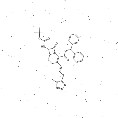 Cn1nnnc1S/C=C/C1=C(C(=O)OC(c2ccccc2)c2ccccc2)N2C(=O)C(NC(=O)OC(C)(C)C)C2SC1